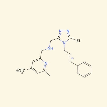 CCc1nnc(CNCc2cc(C(=O)O)cc(C)n2)n1C/C=C/c1ccccc1